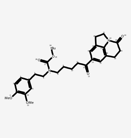 COc1ccc(CCN(CCCCC(=O)c2cc3c4c(c2)CCN4C(=O)CC3)C(=O)OC(C)(C)C)cc1OC